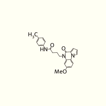 COc1ccc2c(c1)n(CCCC(=O)Nc1ccc(C)cc1)c(=O)c1cccn12